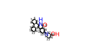 O=c1[nH]c(-c2ccccc2-c2ccccc2)cc2ccc(N3CCCC(O)C3)cc12